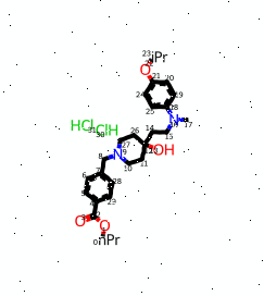 CCCOC(=O)c1ccc(CN2CCC(O)(CCN(C)c3ccc(OC(C)C)cc3)CC2)cc1.Cl.Cl